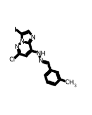 Cc1cccc(C=NNc2cc(Cl)nn3c(I)cnc23)c1